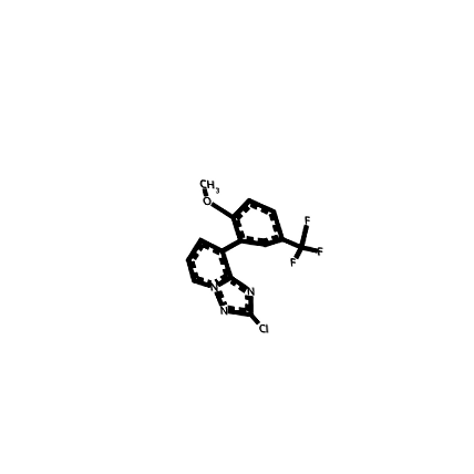 COc1ccc(C(F)(F)F)cc1-c1cccn2nc(Cl)nc12